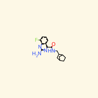 Nc1nc(C(=O)NCC2CC3CCC2C3)c2cccc(F)c2n1